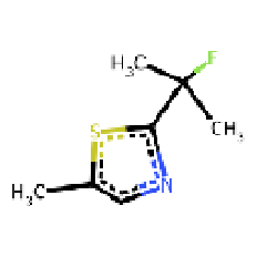 Cc1cnc(C(C)(C)F)s1